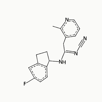 Cc1ncccc1C/C(=N\C#N)NC1CCc2cc(F)ccc21